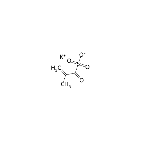 C=C(C)C(=O)S(=O)(=O)[O-].[K+]